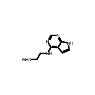 CNCCNc1ncnc2[nH]ccc12